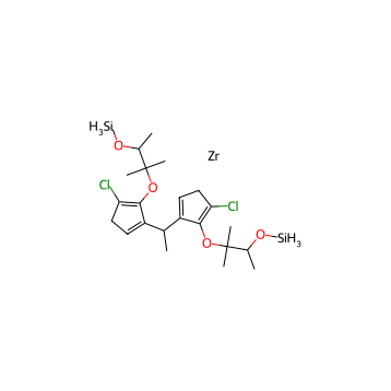 CC(C1=CCC(Cl)=C1OC(C)(C)C(C)O[SiH3])C1=CCC(Cl)=C1OC(C)(C)C(C)O[SiH3].[Zr]